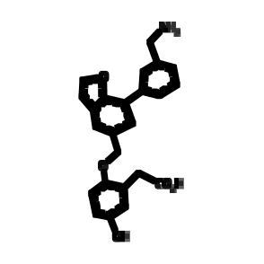 NCc1cccc(-c2cc(COc3ccc(O)cc3CC(=O)O)cc3ccoc23)c1